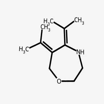 CC(C)=C1COCCNC1=C(C)C